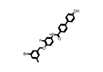 Cc1cc(Br)cc(COc2ccc(NC(=O)c3ccc(-c4ccc(O)cc4)cc3)cc2F)c1